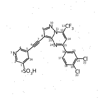 O=S(=O)(O)c1cncc(C#Cc2cnn3c(C(F)(F)F)cc(-c4ccc(Cl)c(Cl)c4)nc23)c1